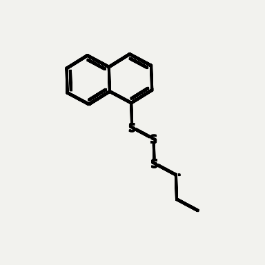 CC[CH]SSSc1cccc2ccccc12